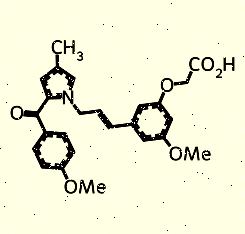 COc1ccc(C(=O)c2cc(C)cn2CC=Cc2cc(OC)cc(OCC(=O)O)c2)cc1